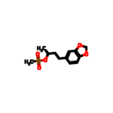 CC(CCc1ccc2c(c1)OCO2)OS(C)(=O)=O